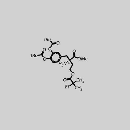 CCC(C)(C)C(=O)OCC[C@@](N)(Cc1ccc(OC(=O)C(C)(C)C)c(OC(=O)C(C)(C)C)c1)C(=O)OC